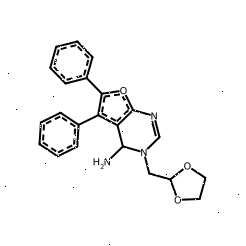 NC1c2c(oc(-c3ccccc3)c2-c2ccccc2)N=CN1CC1OCCO1